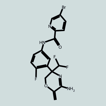 C=C1OCC(c2cc(NC(=O)c3ccc(Br)cn3)ccc2F)(C(F)F)N=C1N